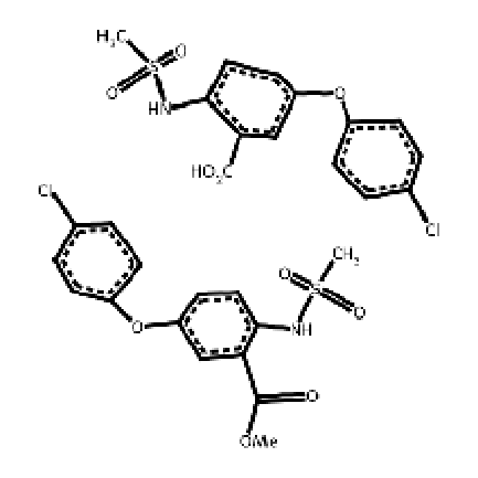 COC(=O)c1cc(Oc2ccc(Cl)cc2)ccc1NS(C)(=O)=O.CS(=O)(=O)Nc1ccc(Oc2ccc(Cl)cc2)cc1C(=O)O